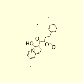 O=COC(CCc1ccccc1)C(=O)C1=C(O)N2C=CC=CC2=CC1